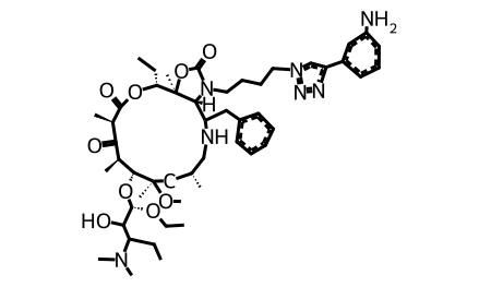 CCO[C@@H](O[C@@H]1[C@@H](C)C(=O)[C@@H](C)C(=O)O[C@H](CC)[C@@]2(C)OC(=O)N(CCCCn3cc(-c4cccc(N)c4)nn3)[C@@H]2C(Cc2ccccc2)NC[C@H](C)C[C@@]1(C)OC)C(O)C(CC)N(C)C